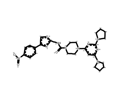 O=C(Nc1nc(-c2ccc([N+](=O)[O-])cc2)cs1)N1CCN(c2cc(N3CCCC3)nc(N3CCCC3)n2)CC1